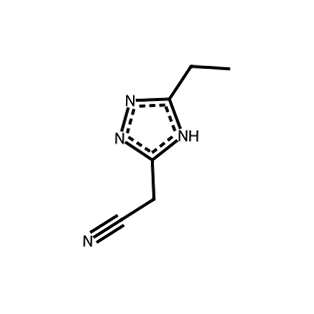 CCc1nnc(CC#N)[nH]1